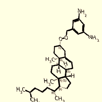 CC(C)CCC[C@@H](C)[C@H]1CC[C@H]2[C@@H]3CC=C4C[C@@H](OOCc5cc(N)cc(N)c5)CC[C@]4(C)[C@H]3CC[C@]12C